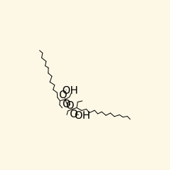 CCCCCCCCCCCCCC(CC)C(CC)(OO)OOC(CC)(OO)C(CC)CCCCCCCCCCCCC